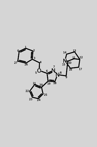 c1ccc(COc2nn(CC3CC4CCN3CC4)cc2-c2ccccc2)cc1